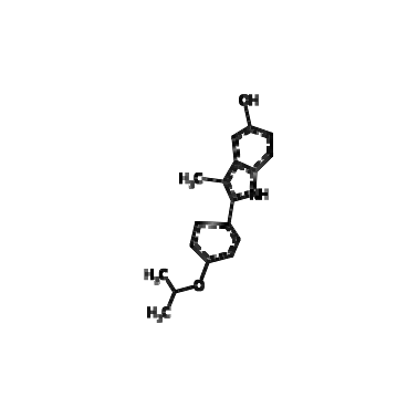 Cc1c(-c2ccc(OC(C)C)cc2)[nH]c2ccc(O)cc12